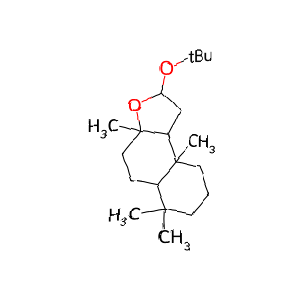 CC(C)(C)OC1CC2C(C)(CCC3C(C)(C)CCCC32C)O1